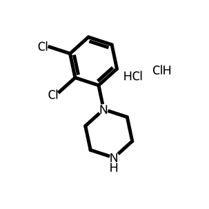 Cl.Cl.Clc1cccc(N2CCNCC2)c1Cl